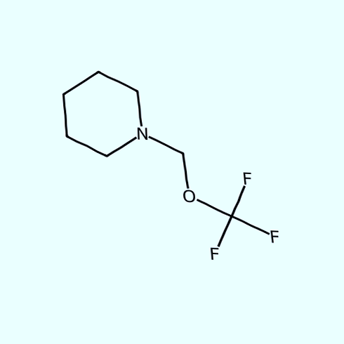 FC(F)(F)OCN1CCCCC1